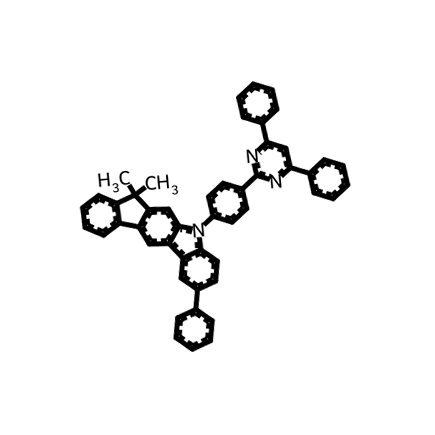 CC1(C)c2ccccc2-c2cc3c4cc(-c5ccccc5)ccc4n(-c4ccc(-c5nc(-c6ccccc6)cc(-c6ccccc6)n5)cc4)c3cc21